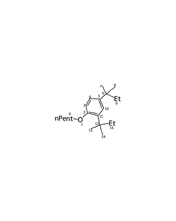 [CH2]CCCCOc1ccc(C(C)(C)CC)cc1C(C)(C)CC